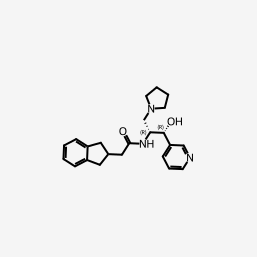 O=C(CC1Cc2ccccc2C1)N[C@H](CN1CCCC1)[C@H](O)c1cccnc1